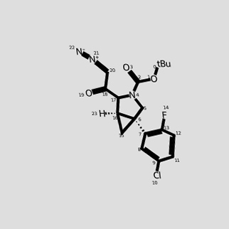 CC(C)(C)OC(=O)N1C[C@@]2(c3cc(Cl)ccc3F)C[C@H]2C1C(=O)C=[N+]=[N-]